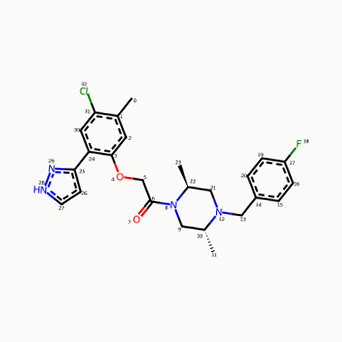 Cc1cc(OCC(=O)N2C[C@@H](C)N(Cc3ccc(F)cc3)C[C@@H]2C)c(-c2cc[nH]n2)cc1Cl